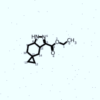 CCOC(=O)C1=NNC2CCC3(CC3)CC12